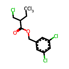 O=C(OCc1cc(Cl)cc(Cl)c1)C(CCl)CC(Cl)(Cl)Cl